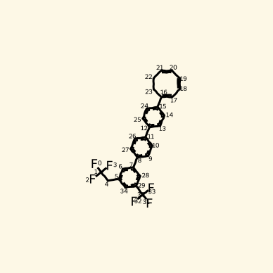 FC(F)(F)Cc1cc(-c2ccc(-c3ccc(/C4=C/C=C\C=C/CC4)cc3)cc2)cc(C(F)(F)F)c1